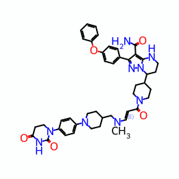 CN(/C=C/C(=O)N1CCC(C2CCNc3c(C(N)=O)c(-c4ccc(Oc5ccccc5)cc4)nn32)CC1)CC1CCN(c2ccc(N3CCC(=O)NC3=O)cc2)CC1